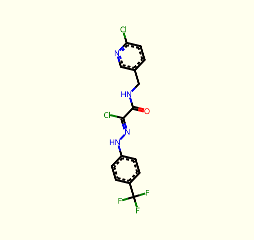 O=C(NCc1ccc(Cl)nc1)C(Cl)=NNc1ccc(C(F)(F)F)cc1